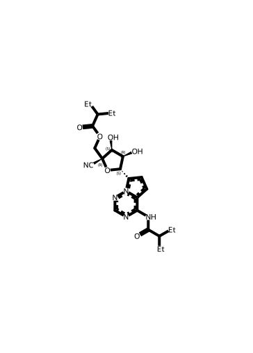 CCC(CC)C(=O)Nc1ncnn2c([C@@H]3O[C@](C#N)(COC(=O)C(CC)CC)[C@@H](O)[C@H]3O)ccc12